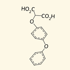 O=C(O)C(Oc1ccc(Oc2ccccc2)cc1)C(=O)O